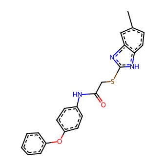 Cc1ccc2[nH]c(SCC(=O)Nc3ccc(Oc4ccccc4)cc3)nc2c1